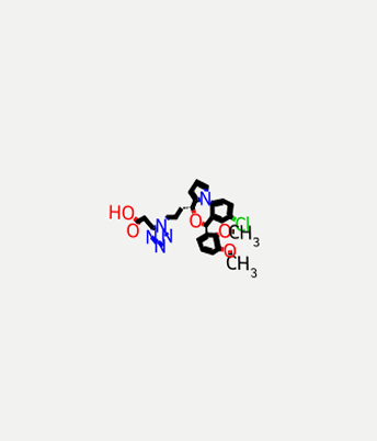 COc1cccc([C@H]2O[C@H](CCCn3nnnc3CC(=O)O)c3cccn3-c3ccc(Cl)cc32)c1OC